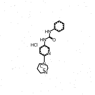 Cl.O=C(Nc1ccccc1)Nc1ccc(N2CCN3CCC2CC3)nc1